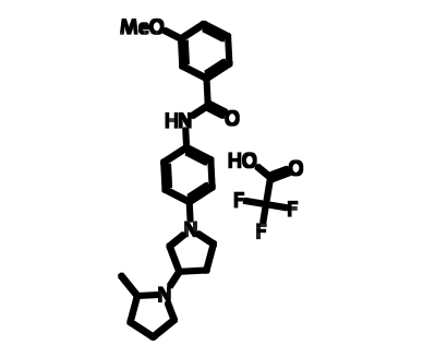 COc1cccc(C(=O)Nc2ccc(N3CCC(N4CCCC4C)C3)cc2)c1.O=C(O)C(F)(F)F